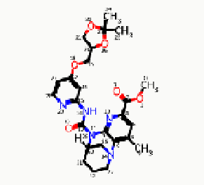 COC(=O)c1cc(C)c2c(n1)N(C(=O)Nc1cc(OCC3COC(C)(C)O3)ccn1)[C@H]1CCCN2C1